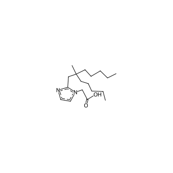 CCCCCC(C)(CCCCC)Cc1nccn1CC(=O)O